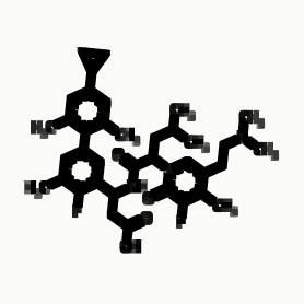 Cc1cc(-c2c(C)cc(C3CC3)cc2C)cc(C(CC(=O)O)NC(=O)C(CC(C)C)n2cc(CCN(C)C)c(C)c(F)c2=O)c1F